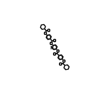 O=C(Oc1ccc(OC(=O)c2ccc(OC(=O)C3CCCCC3)cc2)nc1)c1ccc(OC(=O)C2CCCCC2)cc1